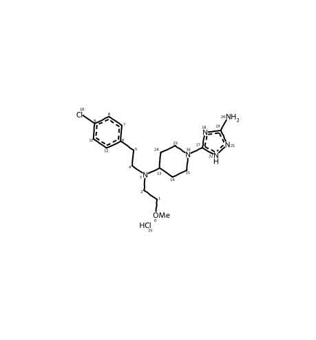 COCCN(CCc1ccc(Cl)cc1)C1CCN(c2nc(N)n[nH]2)CC1.Cl